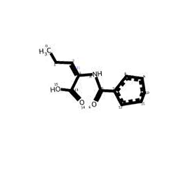 CC/C=C(/NC(=O)c1ccccc1)C(=O)O